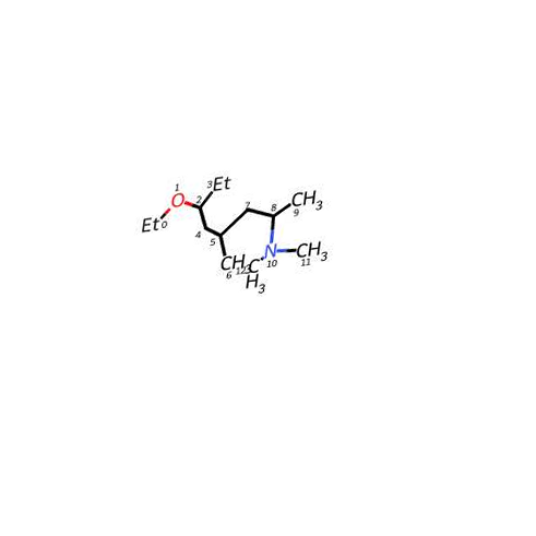 CCOC(CC)CC(C)CC(C)N(C)C